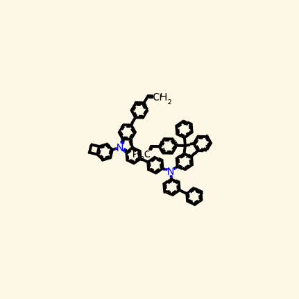 C=Cc1ccc(-c2ccc3c(c2)c2cc(-c4ccc(N(c5cccc(-c6ccccc6)c5)c5ccc6c(c5)C(c5ccccc5)(c5ccc(C=C)cc5)c5ccccc5-6)cc4)ccc2n3-c2ccc3c(c2)CC3)cc1